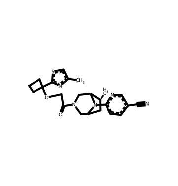 Cc1csc(C2(OCC(=O)N3CC4C[C@H](C)C(C3)N4c3ccc(C#N)cn3)CCC2)n1